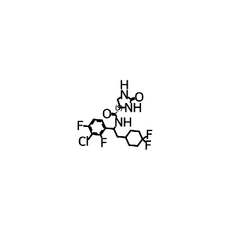 O=C1NC[C@@H](C(=O)NC(CC2CCC(F)(F)CC2)c2ccc(F)c(Cl)c2F)N1